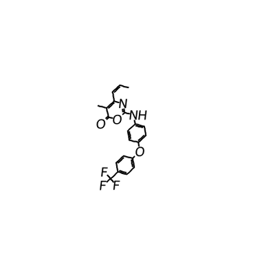 C/C=C\c1nc(Nc2ccc(Oc3ccc(C(F)(F)F)cc3)cc2)oc(=O)c1C